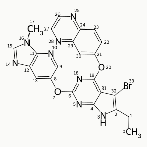 CCc1[nH]c2nc(Oc3cnc4c(c3)ncn4C)nc(Oc3ccc4nccnc4c3)c2c1Br